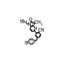 Cn1c(=O)n(CC(C)(C)C)c2ccc(-c3cc(CN4CC[S+]([O-])CC4)ccc3C#N)nc21